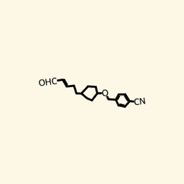 N#Cc1ccc(COC2CCC(CCC=CC=O)CC2)cc1